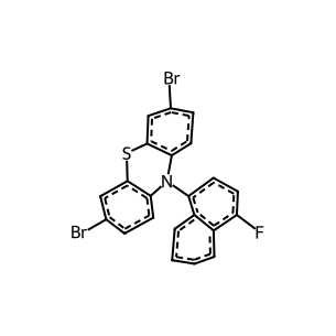 Fc1ccc(N2c3ccc(Br)cc3Sc3cc(Br)ccc32)c2ccccc12